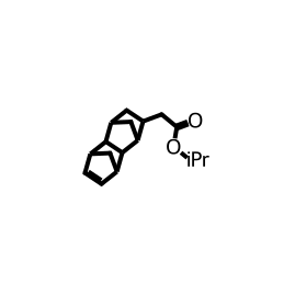 CC(C)OC(=O)CC1CC2CC1C1C3C=CC(C3)C21